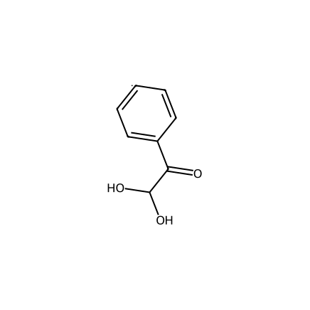 O=C(c1cc[c]cc1)C(O)O